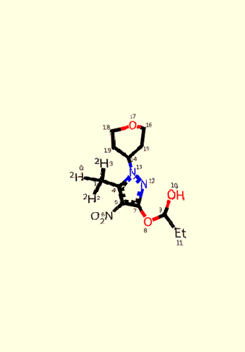 [2H]C([2H])([2H])c1c([N+](=O)[O-])c(OC(O)CC)nn1C1CCOCC1